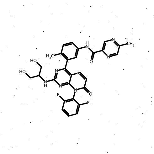 Cc1cnc(C(=O)Nc2ccc(C)c(-c3nc(NC(CO)CO)nc4c3ccc(=O)n4-c3c(F)cccc3F)c2)cn1